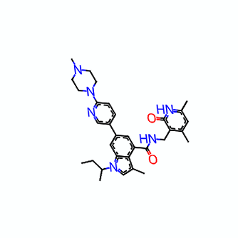 CCC(C)n1cc(C)c2c(C(=O)NCc3c(C)cc(C)[nH]c3=O)cc(-c3ccc(N4CCN(C)CC4)nc3)cc21